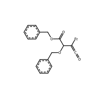 CCC(=C=O)C(OCc1ccccc1)C(=O)OCc1ccccc1